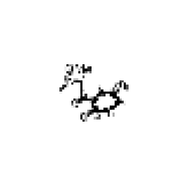 CON(C)CC(=O)c1cc(Br)ccc1Cl